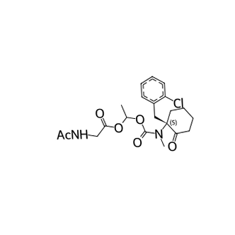 CC(=O)NCC(=O)OC(C)OC(=O)N(C)[C@]1(Cc2ccccc2Cl)CCCCC1=O